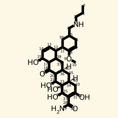 CCCNCC1CC=C(OC)C(C2C=CC(O)C3C(=O)C4C(O)[C@]5(O)C(O)C(C(N)=O)=C(O)C[C@@H]5C[C@@H]4CC23)C1